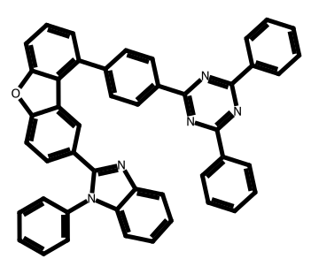 c1ccc(-c2nc(-c3ccccc3)nc(-c3ccc(-c4cccc5oc6ccc(-c7nc8ccccc8n7-c7ccccc7)cc6c45)cc3)n2)cc1